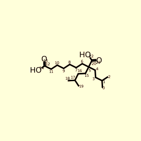 CC(C)CCC(CCCCCCC(=O)O)(CCC(C)C)C(=O)O